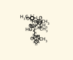 CNC(=O)[C@H](Cc1ccc(OC)cc1)NC(=O)[C@H](CC(C)C)N[C@H](CCCCNC(=O)[C@@H]1CCCN1C(C)=O)C(=O)O